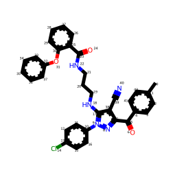 Cc1ccc(C(=O)c2nn(-c3ccc(Cl)cc3)c(NCCCNC(=O)c3ccccc3Oc3ccccc3)c2C#N)cc1